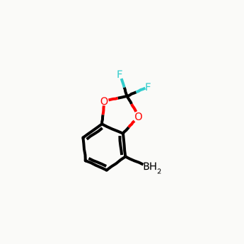 Bc1cccc2c1OC(F)(F)O2